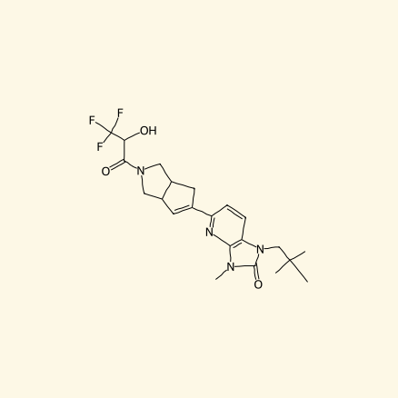 Cn1c(=O)n(CC(C)(C)C)c2ccc(C3=CC4CN(C(=O)C(O)C(F)(F)F)CC4C3)nc21